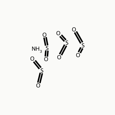 N.O=S=O.O=S=O.O=S=O.O=S=O